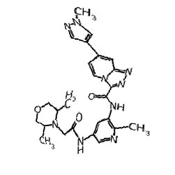 Cc1ncc(NC(=O)CN2C(C)COCC2C)cc1NC(=O)c1nnc2cc(-c3cnn(C)c3)ccn12